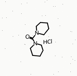 Cl.O=C(N1CCCCC1)N1CCCCC1